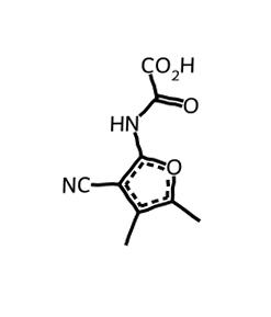 Cc1oc(NC(=O)C(=O)O)c(C#N)c1C